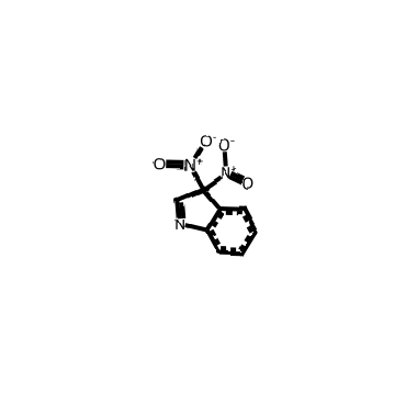 O=[N+]([O-])C1([N+](=O)[O-])C=Nc2ccccc21